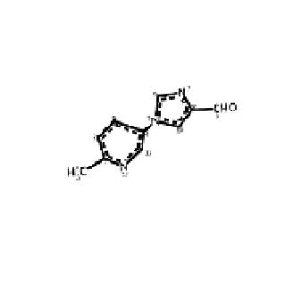 Cc1ccc(-n2cnc(C=O)c2)cn1